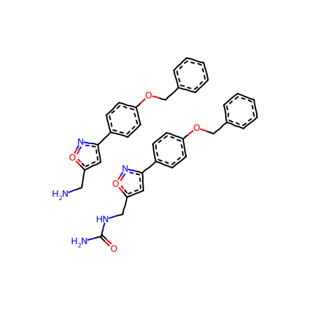 NC(=O)NCc1cc(-c2ccc(OCc3ccccc3)cc2)no1.NCc1cc(-c2ccc(OCc3ccccc3)cc2)no1